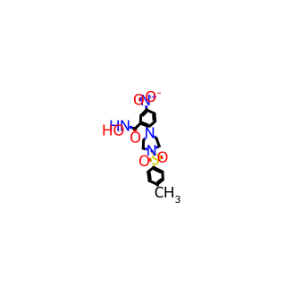 Cc1ccc(S(=O)(=O)N2CCN(c3ccc([N+](=O)[O-])cc3C(=O)NO)CC2)cc1